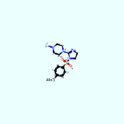 CCN1CCN(C2=NCCN2S(=O)(=O)c2ccc(OC)cc2)CC1